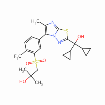 Cc1nc2sc(C(O)(C3CC3)C3CC3)nn2c1-c1ccc(C(F)(F)F)c(S(=O)(=O)CC(C)(C)O)c1